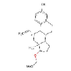 C=C[C@H]1CC2(C)C(OCOC)CCC2C2CCc3cc(C)ccc3C21